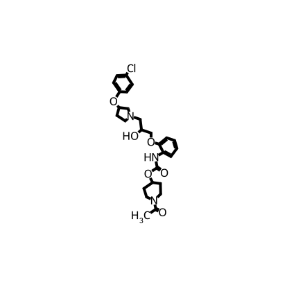 CC(=O)N1CCC(OC(=O)Nc2ccccc2OCC(O)CN2CCC(Oc3ccc(Cl)cc3)C2)CC1